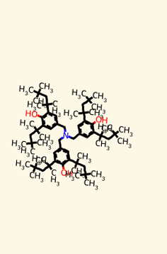 CC(C)(C)CC(C)(C)c1cc(CN(Cc2cc(C(C)(C)CC(C)(C)C)c(O)c(C(C)(C)CC(C)(C)C)c2)Cc2cc(C(C)(C)CC(C)(C)C)c(O)c(C(C)(C)CC(C)(C)C)c2)cc(C(C)(C)CC(C)(C)C)c1O